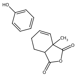 CC12C=CCCC1C(=O)OC2=O.Oc1ccccc1